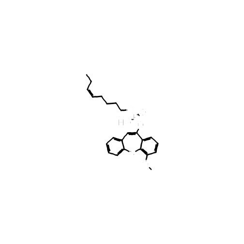 CC/C=C\CCCCOP(=O)(O)OC1=Cc2ccccc2Sc2c(OC)cccc21